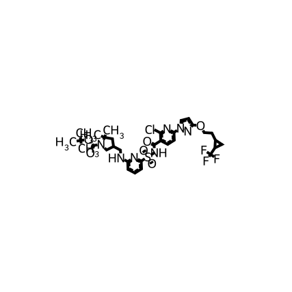 CC(C)(C)OC(=O)N1CC(CNc2cccc(S(=O)(=O)NC(=O)c3ccc(-n4ccc(OCCC5CC5C(F)(F)F)n4)nc3Cl)n2)CC1(C)C